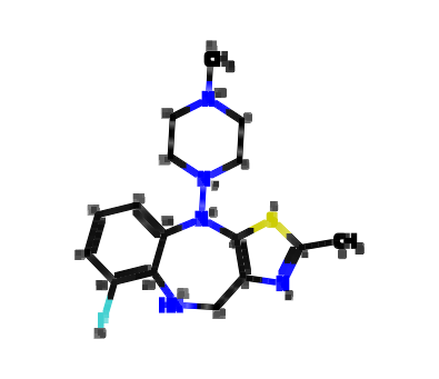 Cc1nc2c(s1)N(N1CCN(C)CC1)c1cccc(F)c1NC2